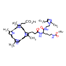 CC1=Cc2cc3[nH]c(cc4nc(cc5[nH]c(cc1n2)c(C)c5CCC(=O)O)C(CCC(=O)NC(CCCCNC(=O)OC(C)(C)C)C(=O)NCCn1c([N+](=O)[O-])cnc1C)=C4C)cc3C